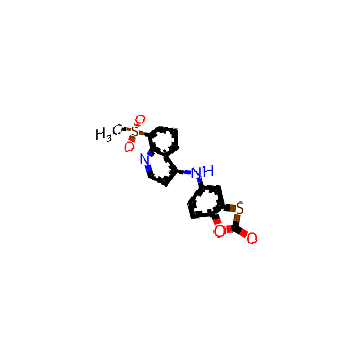 CS(=O)(=O)c1cccc2c(Nc3ccc4oc(=O)sc4c3)ccnc12